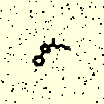 CCOC(=O)n1ccc(-c2[c]nccc2)n1